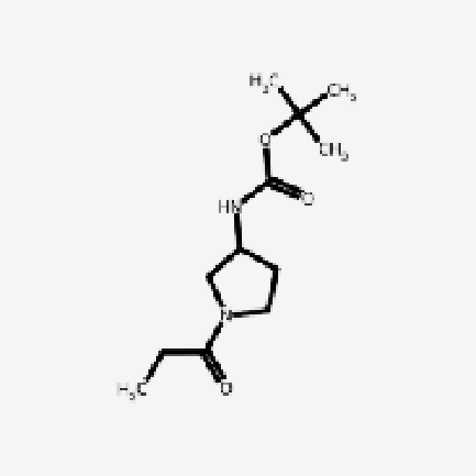 CCC(=O)N1CCC(NC(=O)OC(C)(C)C)C1